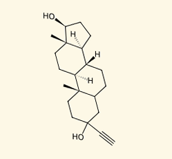 C#CC1(O)CC[C@@]2(C)C(CC[C@H]3[C@@H]4CC[C@H](O)[C@@]4(C)CC[C@@H]32)C1